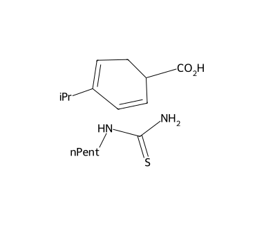 CC(C)C1=CCC(C(=O)O)C=C1.CCCCCNC(N)=S